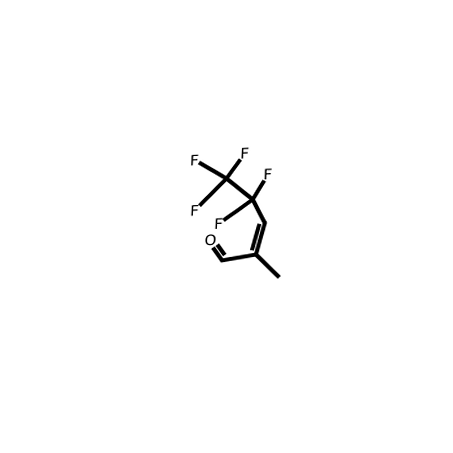 CC(C=O)=CC(F)(F)C(F)(F)F